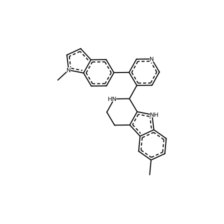 Cc1ccc2[nH]c3c(c2c1)CCNC3c1ccncc1-c1ccc2c(ccn2C)c1